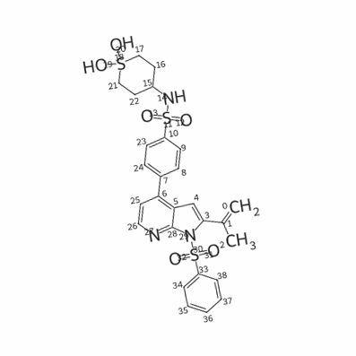 C=C(C)c1cc2c(-c3ccc(S(=O)(=O)NC4CCS(O)(O)CC4)cc3)ccnc2n1S(=O)(=O)c1ccccc1